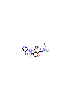 C=CC1=C(/C=C/N(C)CC)OCC[C@H]1CNc1cnccc1C(=O)O